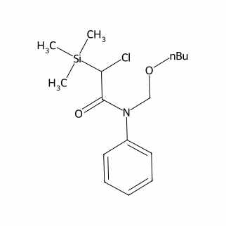 CCCCOCN(C(=O)C(Cl)[Si](C)(C)C)c1ccccc1